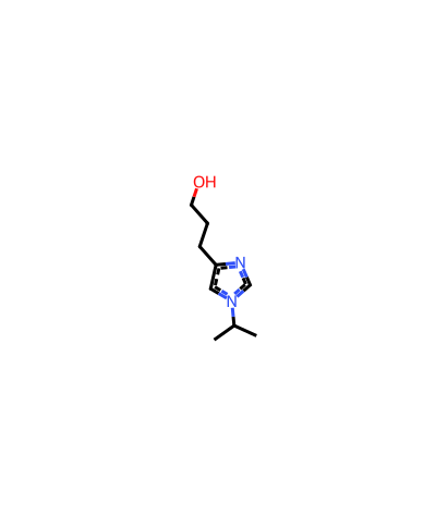 CC(C)n1cnc(CCCO)c1